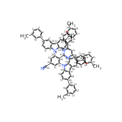 Cc1cccc(-c2ccc3c(c2)c2cc(-c4cccc(C)c4)ccc2n3-c2cc(C#N)cc(-n3c4ccc(-c5cccc(C)c5)cc4c4cc(-c5cccc(C)c5)ccc43)c2-c2nc(-c3ccccc3)cc(-c3ccccc3)n2)c1